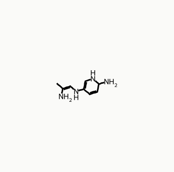 C/C(N)=C/NC1=CNC(N)C=C1